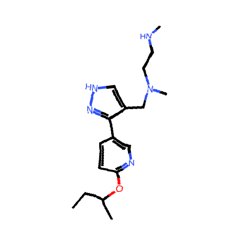 CCC(C)Oc1ccc(-c2n[nH]cc2CN(C)CCNC)cn1